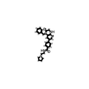 O=C(NCCN1CCCC1)c1ccc(-c2cnc3c(c2)N(Cc2ccccc2)C(=O)CN3)cc1